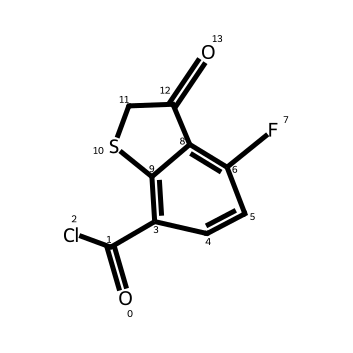 O=C(Cl)c1ccc(F)c2c1SCC2=O